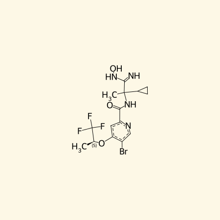 C[C@H](Oc1cc(C(=O)NC(C)(C(=N)NO)C2CC2)ncc1Br)C(F)(F)F